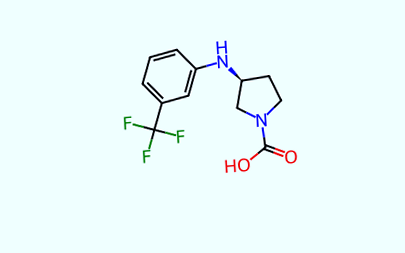 O=C(O)N1CC[C@H](Nc2cccc(C(F)(F)F)c2)C1